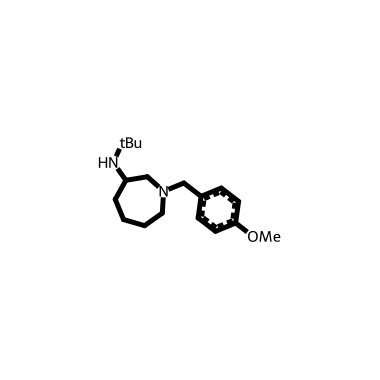 COc1ccc(CN2CCCCC(NC(C)(C)C)C2)cc1